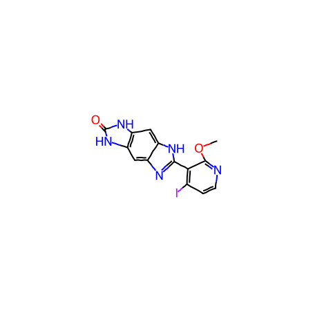 COc1nccc(I)c1-c1nc2cc3[nH]c(=O)[nH]c3cc2[nH]1